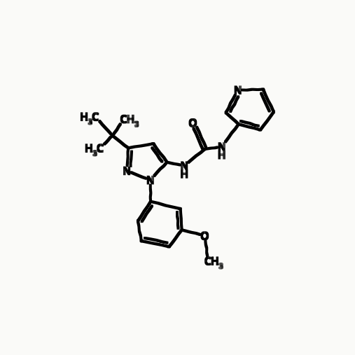 COc1cccc(-n2nc(C(C)(C)C)cc2NC(=O)Nc2cccnc2)c1